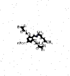 CCCCCc1cc(OCOC(=O)C(CC)CC)c(C/C=C(\C)CCC=C(C)C)c(OCOC(=O)C(CC)CC)c1